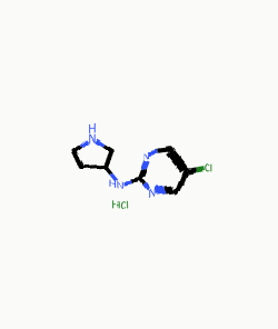 Cl.Clc1cnc(NC2CCNC2)nc1